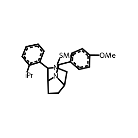 COc1ccc(CN2C3CCC2C(c2ccccc2C(C)C)N(SC)C3)cc1